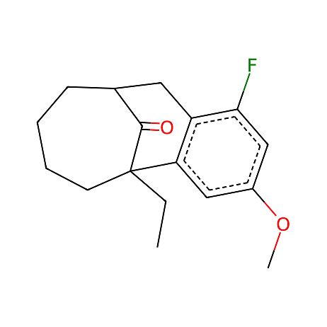 CCC12CCCCC(Cc3c(F)cc(OC)cc31)C2=O